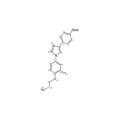 CNc1ccc(-c2cn(-c3ccc(OCCO)c([123I])c3)nn2)cc1